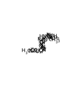 CN1CCC(COc2ccc3ncnc(Oc4cnc(CC(=O)Nc5cnn(C(C)(C)C)c5)c(F)c4)c3c2)CC1